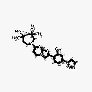 CC1(C)CCN(c2ccn3cc(-c4ccc(-n5ccnn5)cc4O)nc3n2)CC(C)(C)N1